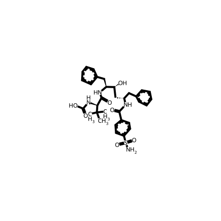 CC(C)(C)[C@@H](NC(=O)O)C(=O)N[C@@H](Cc1ccccc1)[C@H](O)C[C@H](Cc1ccccc1)NC(=O)c1ccc(S(N)(=O)=O)cc1